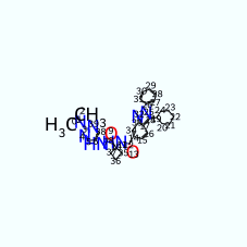 CN(C)c1ncc(NC(=O)C2(NC(=O)c3ccc4c(C5CCCCC5)n(-c5ccccc5)nc4c3)CCC2)cn1